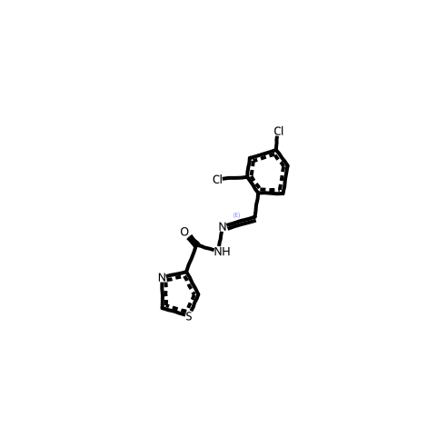 O=C(N/N=C/c1ccc(Cl)cc1Cl)c1cscn1